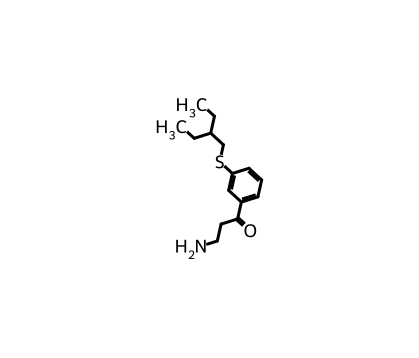 CCC(CC)CSc1cccc(C(=O)CCN)c1